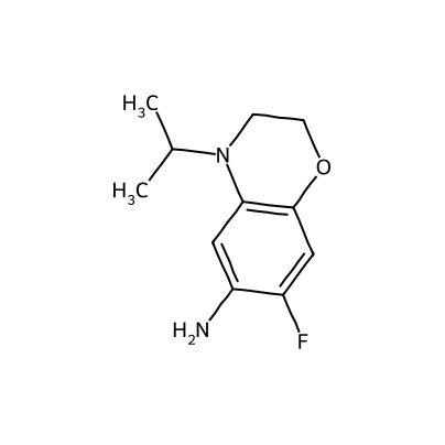 CC(C)N1CCOc2cc(F)c(N)cc21